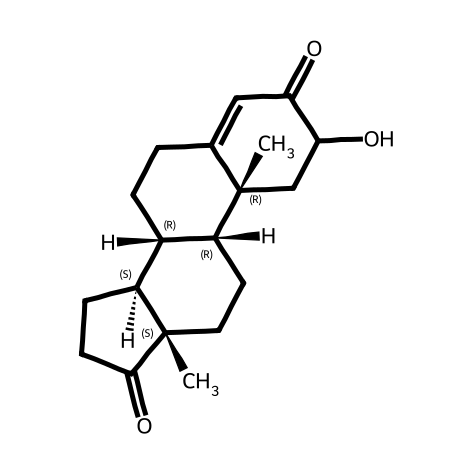 C[C@]12CC(O)C(=O)C=C1CC[C@@H]1[C@H]2CC[C@]2(C)C(=O)CC[C@@H]12